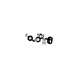 Fc1ccc(CN2CCc3c(ncnc3NCC34CC5CC(CC(C5)C3)C4)C2)cc1